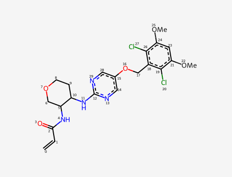 C=CC(=O)NC1COCCC1Nc1ncc(OCc2c(Cl)c(OC)cc(OC)c2Cl)cn1